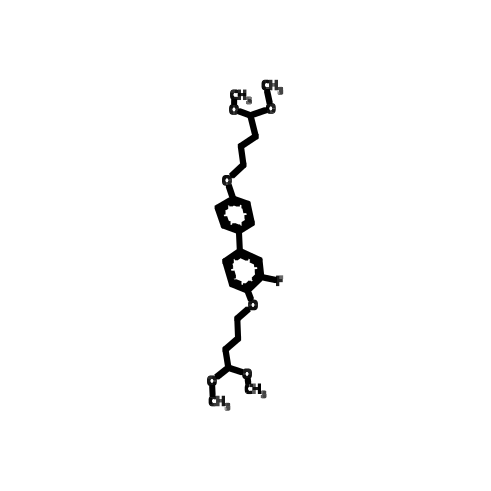 COC(CCCOc1ccc(-c2ccc(OCCCC(OC)OC)c(F)c2)cc1)OC